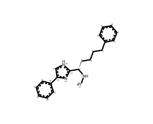 CC(C)N[C@@H](CCCCc1ccccc1)c1nc(-c2ccccc2)c[nH]1